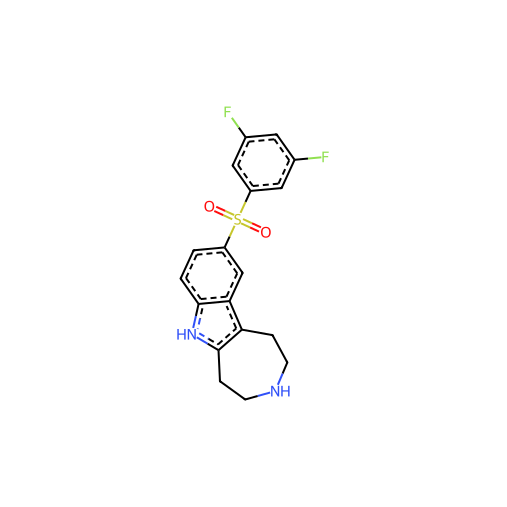 O=S(=O)(c1cc(F)cc(F)c1)c1ccc2[nH]c3c(c2c1)CCNCC3